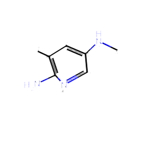 CNc1cnc(N)c(C)c1